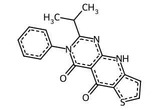 CC(C)c1nc2[nH]c3ccsc3c(=O)c2c(=O)n1-c1ccccc1